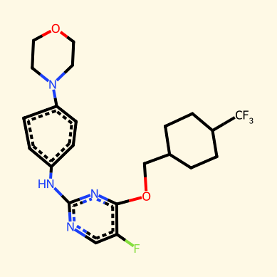 Fc1cnc(Nc2ccc(N3CCOCC3)cc2)nc1OCC1CCC(C(F)(F)F)CC1